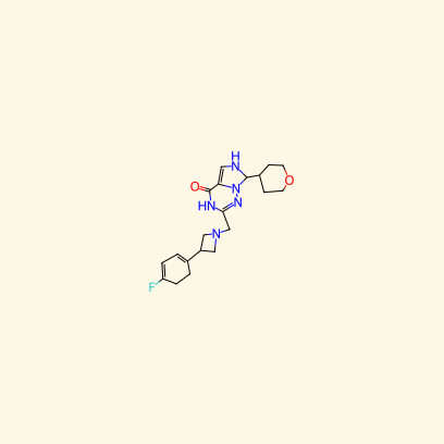 O=C1NC(CN2CC(C3=CC=C(F)CC3)C2)=NN2C1=CNC2C1CCOCC1